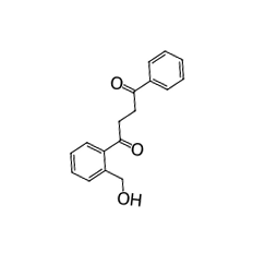 O=C(CCC(=O)c1ccccc1CO)c1ccccc1